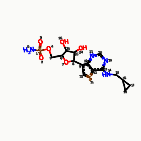 NS(=O)(=O)OCC1OC(c2csc3c(NCC4CC4)ncnc23)C(O)C1O